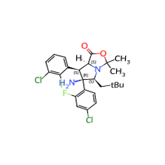 CC(C)(C)C[C@@H]1N2[C@H](C(=O)OC2(C)C)[C@H](c2cccc(Cl)c2F)[C@@]1(N)c1ccc(Cl)cc1F